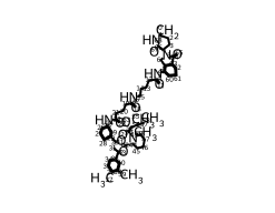 C=C1CCC(N2Cc3c(NC(=O)CCCCNC(=O)CCCC(=O)Nc4cccc([C@@H](CCc5ccc(C)c(C)c5)OC(=O)[C@@H]5CCCCN5C(=O)C(=O)C(C)(C)CC)c4)cccc3C2=O)C(=O)N1